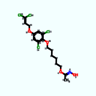 CC(=NO)OCCCCCCOc1c(Cl)cc(OCC=C(Cl)Cl)cc1Cl